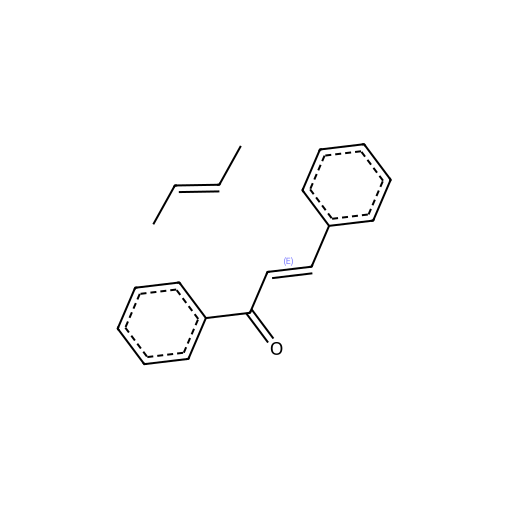 CC=CC.O=C(/C=C/c1ccccc1)c1ccccc1